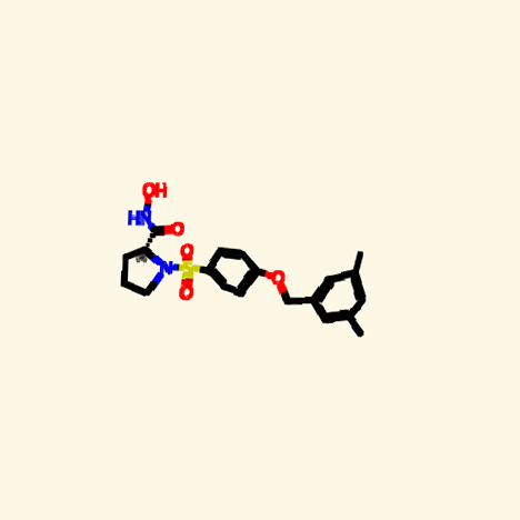 Cc1cc(C)cc(COc2ccc(S(=O)(=O)N3CCC[C@@H]3C(=O)NO)cc2)c1